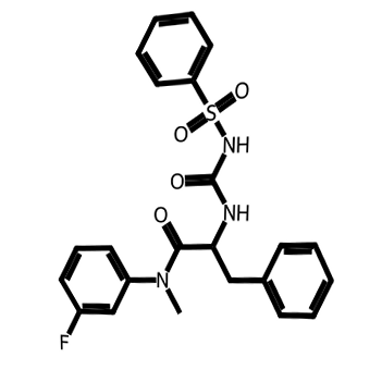 CN(C(=O)C(Cc1ccccc1)NC(=O)NS(=O)(=O)c1ccccc1)c1cccc(F)c1